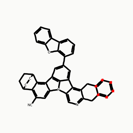 N#Cc1cc2c(c3c1C1CCC3CC1)c1cc(-c3cccc4c3oc3ccccc34)cc3c4c5c(ncc4n2c13)C1c2ccccc2C5c2ccccc21